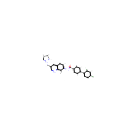 Cc1c(NC(=O)c2ccc(-c3ccc(F)cc3F)cc2)ccc2cc(CN3CCCC3)cnc12